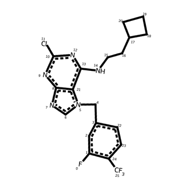 Fc1cc(Cn2cnc3nc(Cl)nc(NCCC4CCC4)c32)ccc1C(F)(F)F